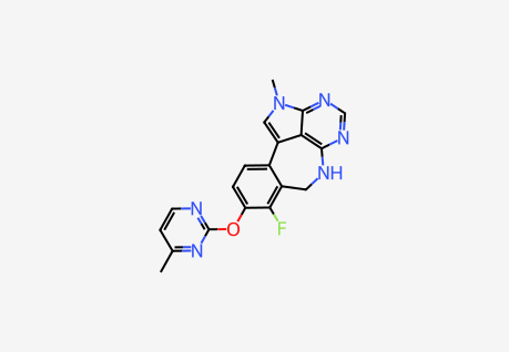 Cc1ccnc(Oc2ccc3c(c2F)CNc2ncnc4c2c-3cn4C)n1